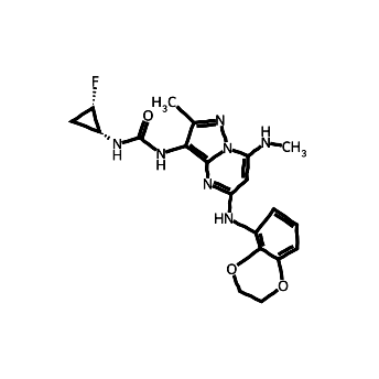 CNc1cc(Nc2cccc3c2OCCO3)nc2c(NC(=O)N[C@@H]3C[C@@H]3F)c(C)nn12